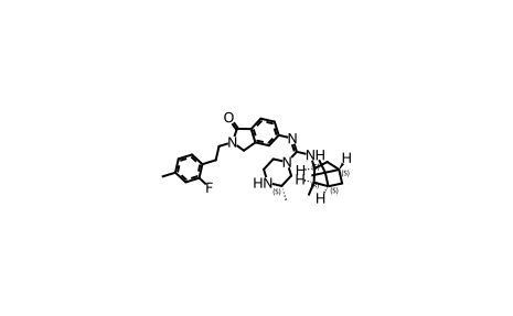 Cc1ccc(CCN2Cc3cc(N=C(N[C@H]4C[C@@H]5C[C@@H]([C@H]4C)C5(C)C)N4CCN[C@@H](C)C4)ccc3C2=O)c(F)c1